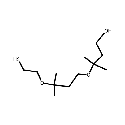 CC(C)(CCO)OCCC(C)(C)OCCS